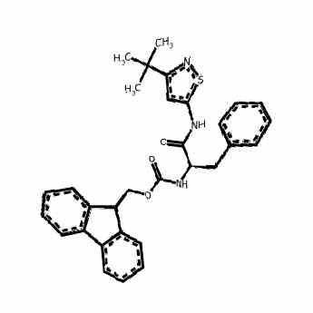 CC(C)(C)c1cc(NC(=O)[C@@H](Cc2ccccc2)NC(=O)OCC2c3ccccc3-c3ccccc32)sn1